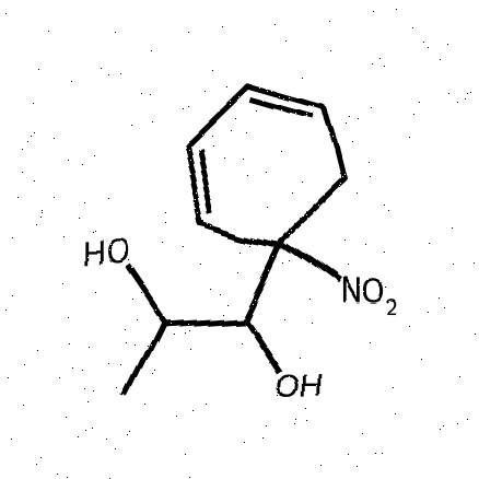 CC(O)C(O)C1([N+](=O)[O-])C=CC=CC1